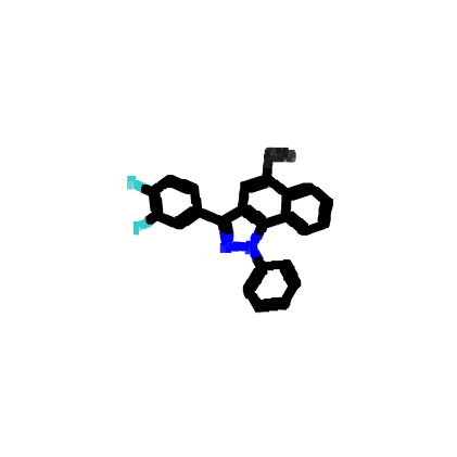 COc1cc2c(-c3ccc(F)c(F)c3)nn(-c3ccccc3)c2c2ccccc12